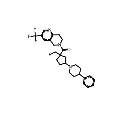 O=C(N1CCc2ncc(C(F)(F)F)cc2C1)C1(CF)CCC(N2CCC(c3ccccc3)CC2)C1